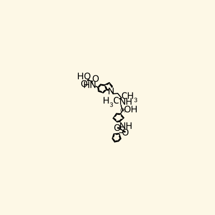 CC(C)(CCn1ccc2cc(NC(=O)C(=O)O)ccc21)NC[C@H](O)c1cccc(NS(=O)(=O)c2ccccc2)c1